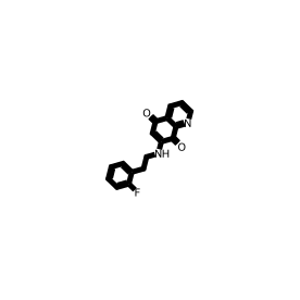 O=C1C=C(NCCc2ccccc2F)C(=O)c2ncccc21